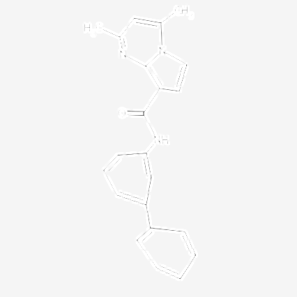 Cc1cc(C)n2ccc(C(=O)Nc3cccc(-c4ccccc4)c3)c2n1